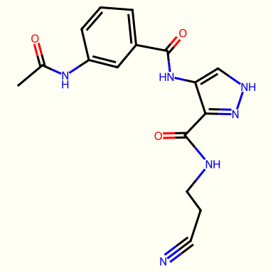 CC(=O)Nc1cccc(C(=O)Nc2c[nH]nc2C(=O)NCCC#N)c1